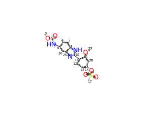 COC(=O)Nc1ccc2[nH]c(-c3ccc(OS(C)(=O)=O)cc3OC)nc2c1